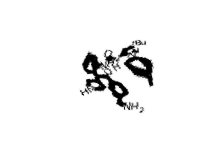 Cc1ccc(-n2nc(C(C)(C)C)cc2NC(=O)Nc2ccccc2C(C(=O)c2ccc(CN)cc2)C2CCNCC2)cc1